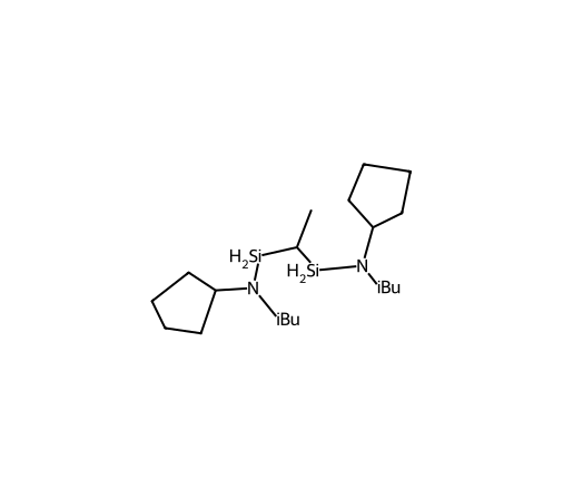 CCC(C)N([SiH2]C(C)[SiH2]N(C(C)CC)C1CCCC1)C1CCCC1